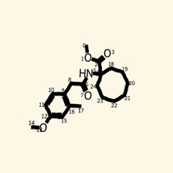 COC(=O)C1(NC(=O)Cc2ccc(OC)cc2C)CCCCCCC1